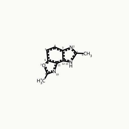 Cc1nc2ccc3oc(C)nc3c2[nH]1